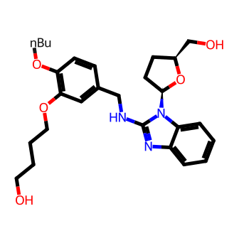 CCCCOc1ccc(CNc2nc3ccccc3n2[C@H]2CC[C@@H](CO)O2)cc1OCCCCO